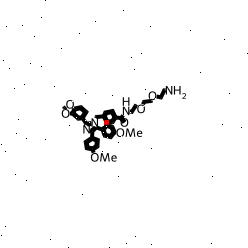 COc1ccc(-c2nc(-c3ccc4c(c3)OCO4)n(Cc3ccc(C(=O)NCCOCCOCCN)cc3)c2-c2ccc(OC)cc2)cc1